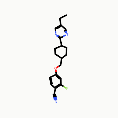 CCc1cnc(C2CCC(COc3ccc(C#N)c(F)c3)CC2)nc1